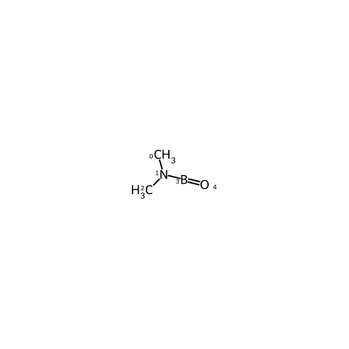 CN(C)B=O